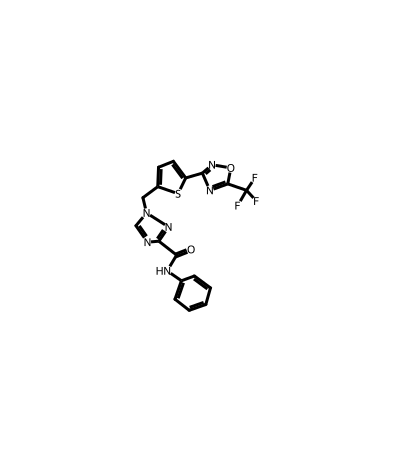 O=C(Nc1ccccc1)c1ncn(Cc2ccc(-c3noc(C(F)(F)F)n3)s2)n1